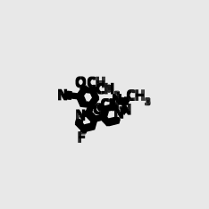 COC1(c2ncc(F)cc2-c2ccn3nc(C)nc3c2)C=C(C#N)C(=O)C(C)(C)C1